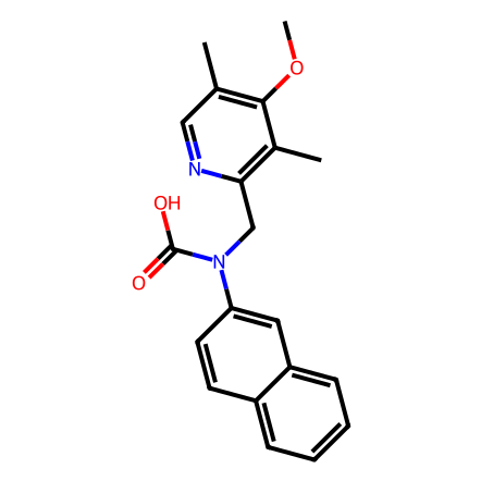 COc1c(C)cnc(CN(C(=O)O)c2ccc3ccccc3c2)c1C